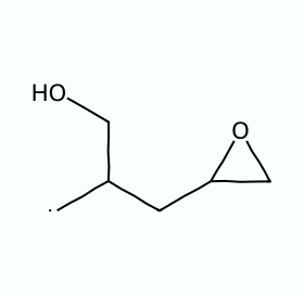 [CH2]C(CO)CC1CO1